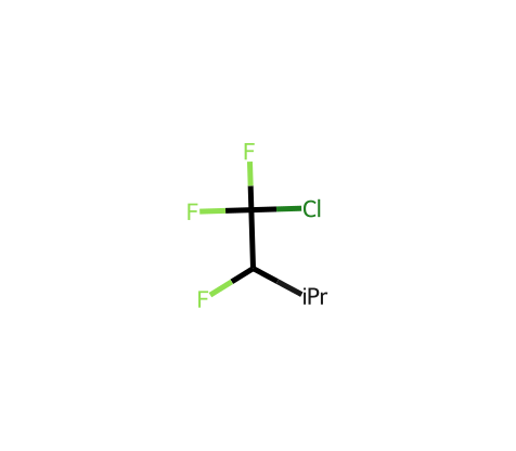 CC(C)C(F)C(F)(F)Cl